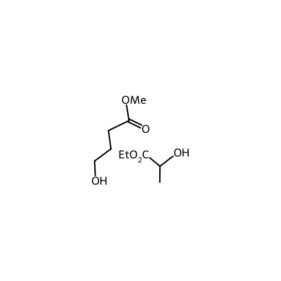 CCOC(=O)C(C)O.COC(=O)CCCO